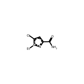 CCn1nc(C(N)=O)[c]c1Cl